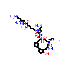 NCCC[C@H](N)CNC(=O)[C@@H](N)CCCCNC(=O)[C@@H](CCCN)NC(=O)[C@@H]1Cc2cccc(c2)-c2ccc(O)c(c2)C[C@H](N)C(=O)N[C@@H](CCCN)C(=O)N1